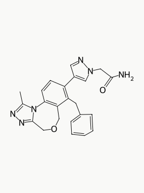 Cc1nnc2n1-c1ccc(-c3cnn(CC(N)=O)c3)c(Cc3ccccc3)c1COC2